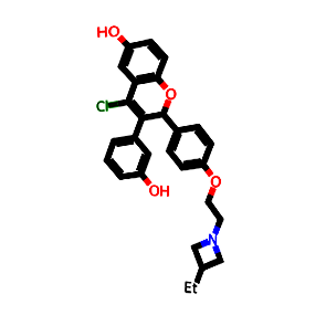 CCC1CN(CCOc2ccc(C3Oc4ccc(O)cc4C(Cl)=C3c3cccc(O)c3)cc2)C1